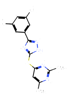 COc1cc(Sc2nc(-c3cc(C(F)(F)F)cc(C(F)(F)F)c3)n[nH]2)nc(SC)n1